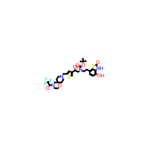 CC(C)(C)OC(=O)N(CCc1ccc(O)c2[nH]c(=O)sc12)C[C@H](O)c1csc(CN2CCC3(CC2)CN(C(=O)C(F)(F)F)CCO3)c1